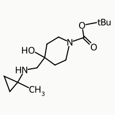 CC1(NCC2(O)CCN(C(=O)OC(C)(C)C)CC2)CC1